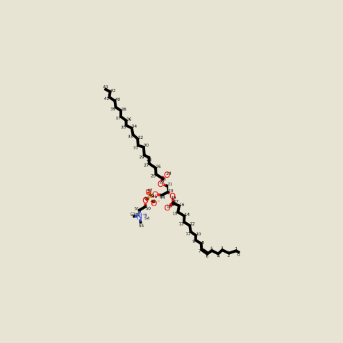 CCCCCC/C=C\CCCCCCCCCC(=O)O[C@H](COC(=O)CCCCCCCCCCCCCCCCCCC)COP(=O)([O-])OCC[N+](C)(C)C